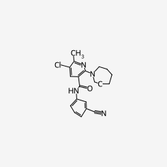 Cc1nc(N2CCCCCC2)c(C(=O)Nc2cccc(C#N)c2)cc1Cl